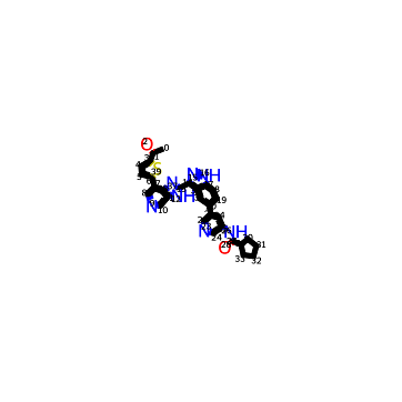 CC(=O)c1ccc(-c2cncc3[nH]c(-c4n[nH]c5ccc(-c6cncc(NC(=O)C7CCCC7)c6)cc45)nc23)s1